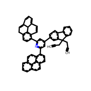 C#CCC1(CC#C)c2ccccc2-c2ccc(-c3cc(-c4ccc5c6c4C=CC4=CC=CC(=CC5)C46)nc(-c4ccc5ccc6cccc7ccc4c5c67)c3)cc21